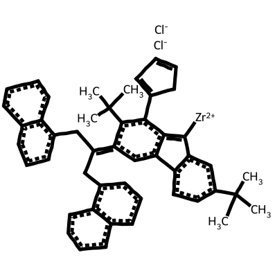 CC(C)(C)c1ccc2c(c1)[C]([Zr+2])=c1c-2cc(=C(Cc2cccc3ccccc23)Cc2cccc3ccccc23)c(C(C)(C)C)c1C1=CC=CC1.[Cl-].[Cl-]